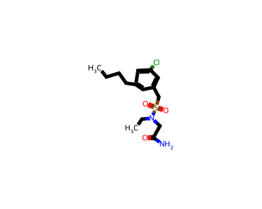 CCCCc1cc(Cl)cc(CS(=O)(=O)N(CC)CC(N)=O)c1